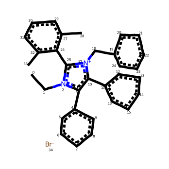 CCn1c(-c2ccccc2)c(-c2ccccc2)[n+](Cc2ccccc2)c1-c1c(C)cccc1C.[Br-]